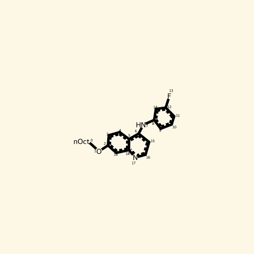 CCCCCCCCOc1ccc2c(Nc3cccc(F)c3)ccnc2c1